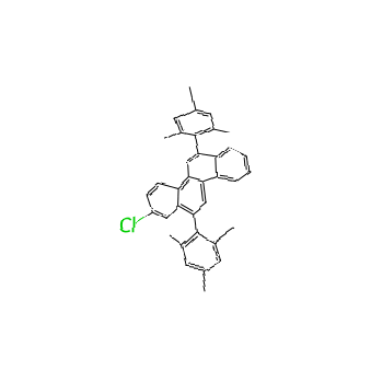 Cc1cc(C)c(-c2cc3c4ccc(Cl)cc4c(-c4c(C)cc(C)cc4C)cc3c3ccccc23)c(C)c1